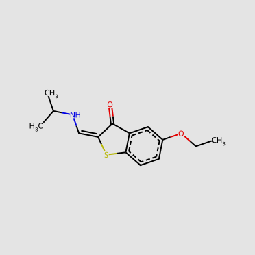 CCOc1ccc2c(c1)C(=O)/C(=C\NC(C)C)S2